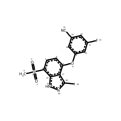 CS(=O)(=O)c1ccc(Oc2cc(F)cc(C#N)c2)c2c(I)n[nH]c12